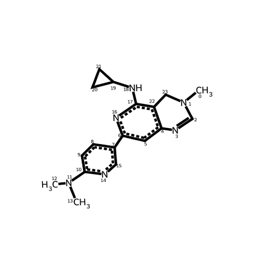 CN1C=Nc2cc(-c3ccc(N(C)C)nc3)nc(NC3CC3)c2C1